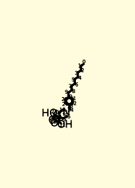 CCCCCCCCCCc1ccc(CN2CCC(C(=O)O)(C(=O)O)CC2)cc1